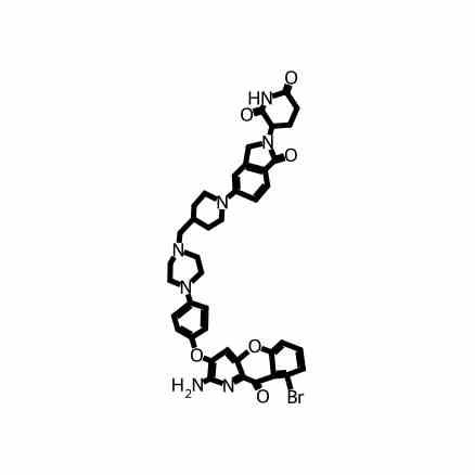 Nc1nc2c(=O)c3c(Br)cccc3oc2cc1Oc1ccc(N2CCN(CC3CCN(c4ccc5c(c4)CN(C4CCC(=O)NC4=O)C5=O)CC3)CC2)cc1